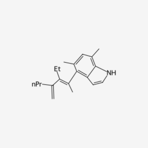 C=C(CCC)/C(CC)=C(\C)c1c(C)cc(C)c2[nH]ccc12